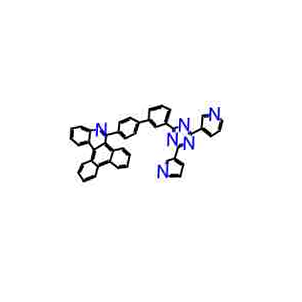 c1cncc(-c2nc(-c3cccnc3)nc(-c3cccc(-c4ccc(-c5nc6ccccc6c6c7ccccc7c7ccccc7c56)cc4)c3)n2)c1